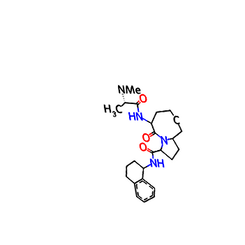 CN[C@@H](C)C(=O)NC1CCCCC2CCC(C(=O)NC3CCCc4ccccc43)N2C1=O